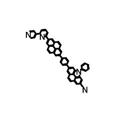 N#Cc1cc2ccc3cc(-c4ccc(-c5cc6ccc7cc(-c8cccc(-c9ccncc9)n8)cc8ccc(c5)c6c78)cc4)cc4c3c2c(c1)n4-c1ccccc1